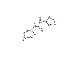 O=C(Nc1cc[n+]([O-])nc1)NC1CCCC1